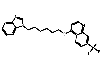 FC(F)(F)c1ccc2c(SCCCCCCn3cnc4ccccc43)ccnc2c1